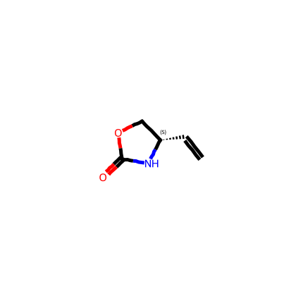 C=C[C@H]1COC(=O)N1